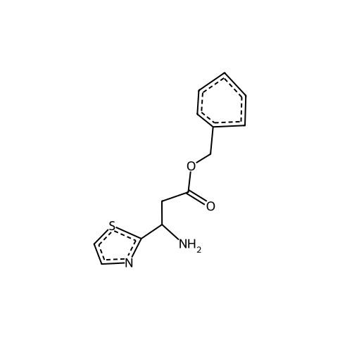 NC(CC(=O)OCc1ccccc1)c1nccs1